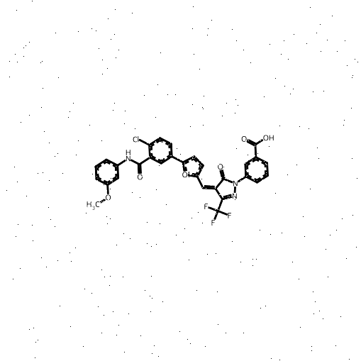 COc1cccc(NC(=O)c2cc(-c3ccc(/C=C4\C(=O)N(c5cccc(C(=O)O)c5)N=C4C(F)(F)F)o3)ccc2Cl)c1